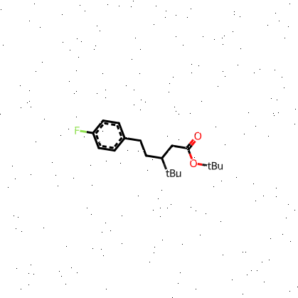 CC(C)(C)OC(=O)CC(CCc1ccc(F)cc1)C(C)(C)C